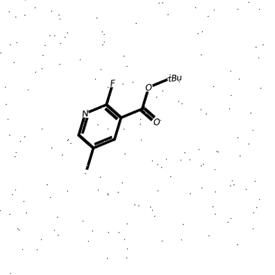 Cc1cnc(F)c(C(=O)OC(C)(C)C)c1